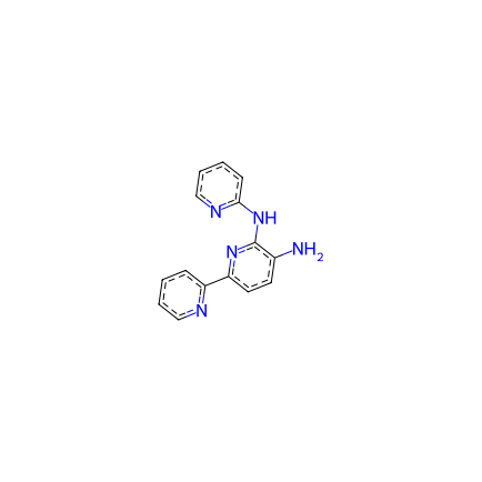 Nc1ccc(-c2ccccn2)nc1Nc1ccccn1